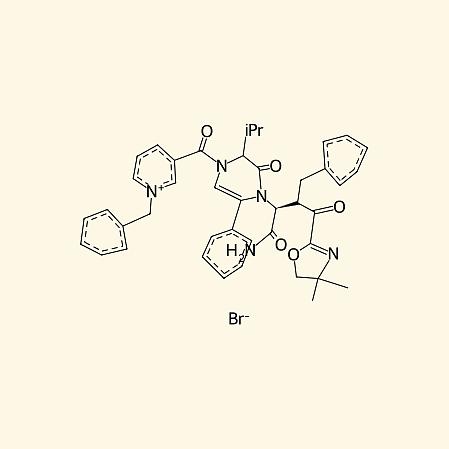 CC(C)C1C(=O)N([C@H](C(N)=O)C(Cc2ccccc2)C(=O)C2=NC(C)(C)CO2)C(c2ccccc2)=CN1C(=O)c1ccc[n+](Cc2ccccc2)c1.[Br-]